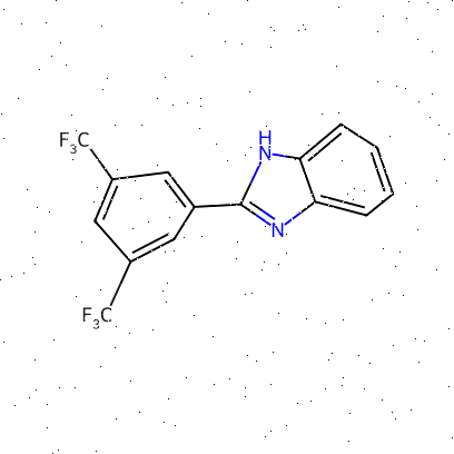 FC(F)(F)c1cc(-c2nc3ccccc3[nH]2)cc(C(F)(F)F)c1